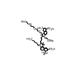 COCCOCCOCCOCCC1(C)C(/C=C/C=C2/N(CCCCCC(=O)O)c3ccc4c(S(=O)(=O)[O-])cc(S(=O)(=O)O)cc4c3C2(C)C)=[N+](CCOC)c2ccc3c(S(=O)(=O)O)cc(S(=O)(=O)O)cc3c21